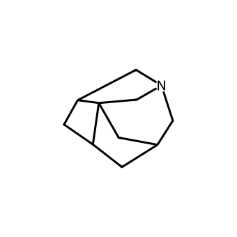 C1C2CN3CC4CC1C4(C2)C3